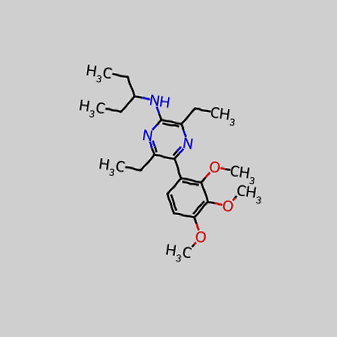 CCc1nc(-c2ccc(OC)c(OC)c2OC)c(CC)nc1NC(CC)CC